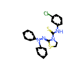 S=C(Nc1cccc(Cl)c1)N1CCSC1=NN(c1ccccc1)c1ccccc1